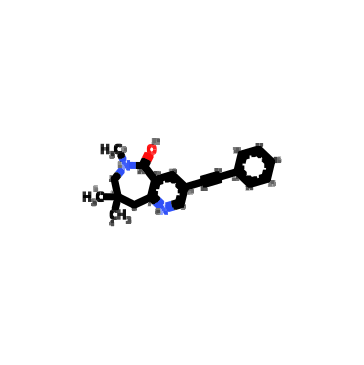 CN1CC(C)(C)Cc2ncc(C#Cc3ccccc3)cc2C1=O